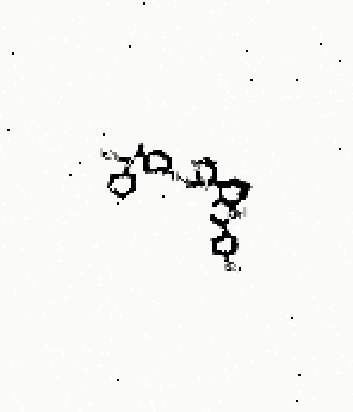 C=C(Nc1cccc(-c2ccnc(Nc3ccc(C(=C)N(CC)C4CCCCC4)cc3)n2)c1C)c1ccc(C(C)(C)C)cc1